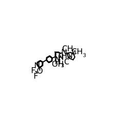 CN(c1ccc(-c2ccc(-c3ccnc(OC(F)F)c3)cc2O)nn1)C1C[C@]2(C)CC[C@](C)(C1)N2